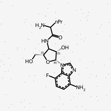 CCCC(N)C(=O)NC1[C@@H](CO)O[C@@H](n2cnc3c(N)ccc(F)c32)[C@H]1O